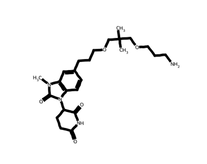 Cn1c(=O)n(C2CCC(=O)NC2=O)c2ccc(CCCOCC(C)(C)COCCCN)cc21